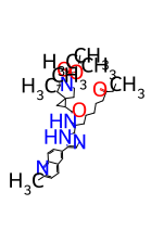 CCC(=O)CCCCCC(NC(=O)C1CC12CCN(C(=O)OC(C)(C)C)C(C)(C)C2)c1ncc(-c2ccc3nc(C)ccc3c2)[nH]1